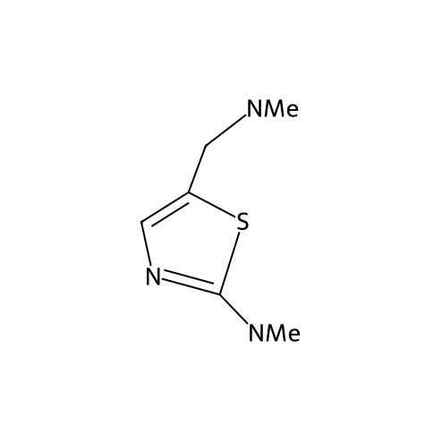 CNCc1cnc(NC)s1